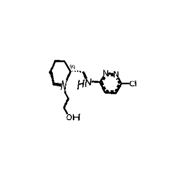 OCCN1CCCC[C@@H]1CNc1ccc(Cl)nn1